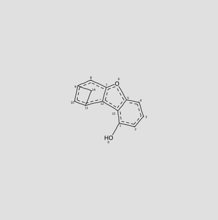 Oc1cccc2oc3cc4cc(c3c12)C4